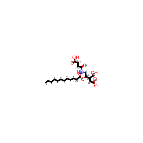 CCCCCCCCCCCC(=O)OC(CNC(=O)CCC(=O)O)C1=CC(=O)OC1O